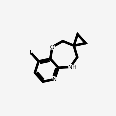 Ic1ccnc2c1OCC1(CC1)CN2